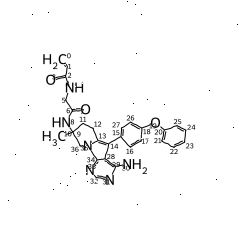 C=CC(=O)NCC(=O)NC1(C)CCc2c(-c3ccc(Oc4ccccc4)cc3)c3c(N)ncnc3n2C1